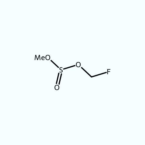 COS(=O)OCF